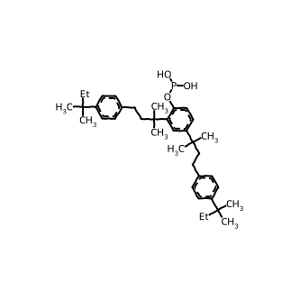 CCC(C)(C)c1ccc(CCC(C)(C)c2ccc(OP(O)O)c(C(C)(C)CCc3ccc(C(C)(C)CC)cc3)c2)cc1